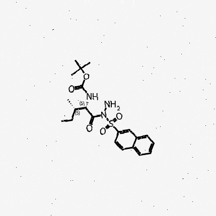 CC[C@H](C)[C@H](NC(=O)OC(C)(C)C)C(=O)N(N)S(=O)(=O)c1ccc2ccccc2c1